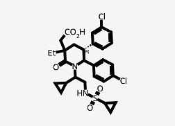 CCC1(CC(=O)O)C[C@H](c2cccc(Cl)c2)C(c2ccc(Cl)cc2)N(C(CNS(=O)(=O)C2CC2)C2CC2)C1=O